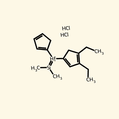 CCC1=C(CC)C[C]([Hf]([C]2=CC=CC2)=[Si](C)C)=C1.Cl.Cl